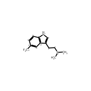 CN(C)CCc1c[nH]c2ccc(C(F)(F)F)cc12